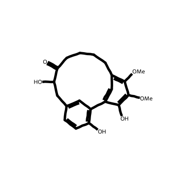 COc1c2cc(c(O)c1OC)-c1cc(ccc1O)CC(O)C(=O)CCCC2